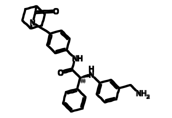 NCc1cccc(N[C@H](C(=O)Nc2ccc(N3C(=O)C4CCC3CC4)cc2)c2ccccc2)c1